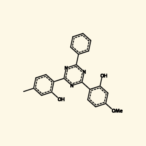 COc1ccc(-c2nc(-c3ccccc3)nc(-c3ccc(C)cc3O)n2)c(O)c1